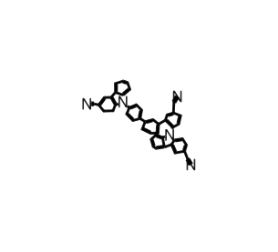 N#CC1=Cc2c(n(-c3ccc(-c4cccc(-c5cc(C#N)ccc5-n5c6ccccc6c6cc(C#N)ccc65)c4)cc3)c3ccccc23)CC1